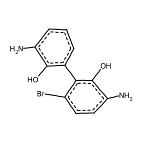 Nc1cccc(-c2c(Br)ccc(N)c2O)c1O